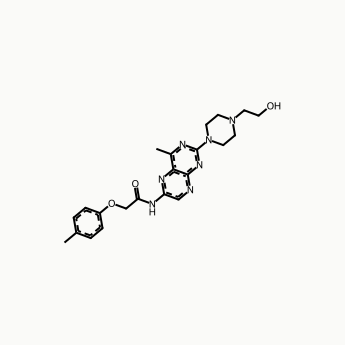 Cc1ccc(OCC(=O)Nc2cnc3nc(N4CCN(CCO)CC4)nc(C)c3n2)cc1